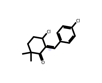 CC1(C)CCC(Cl)/C(=C\c2ccc(Cl)cc2)C1=O